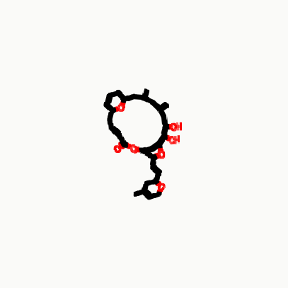 C=C1CC(C)CC2CC=CC(C/C=C/C(=O)OC3CC(OC3/C=C/C3CC(C)=CCO3)C(O)C(O)C1)O2